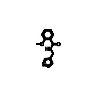 COc1ccccc1C(=O)NCc1ccsc1